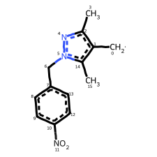 [CH2]c1c(C)nn(Cc2ccc([N+](=O)[O-])cc2)c1C